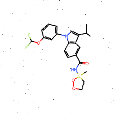 CC(C)c1cn(-c2cccc(OC(F)F)c2)c2ccc(C(=O)NS3(C)CCOO3)cc12